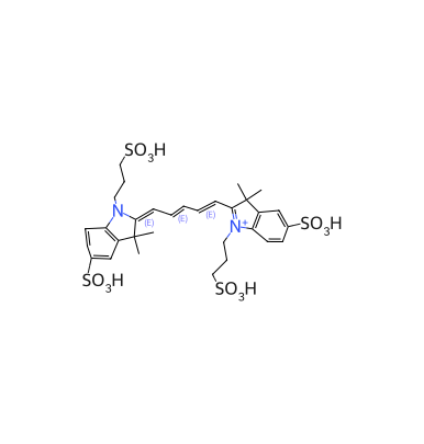 CC1(C)C(/C=C/C=C/C=C2/N(CCCS(=O)(=O)O)c3ccc(S(=O)(=O)O)cc3C2(C)C)=[N+](CCCS(=O)(=O)O)c2ccc(S(=O)(=O)O)cc21